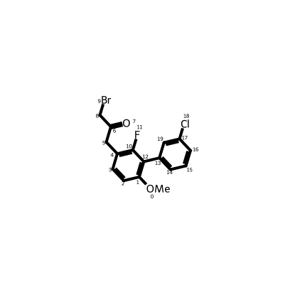 COc1ccc(CC(=O)CBr)c(F)c1-c1cccc(Cl)c1